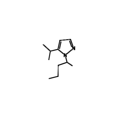 CCCC(C)n1nccc1C(C)C